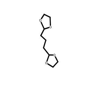 C(CC1OCCO1)CC1OCCO1